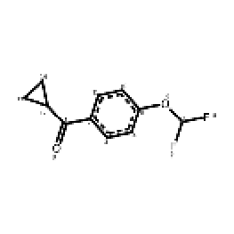 O=C(c1ccc(OC(F)F)cc1)C1CC1